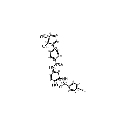 O=C(Nc1ccc(O)c(N[S+]([O-])c2ccc(F)cc2)c1)c1ccc(-c2cccc(Cl)c2Cl)cc1